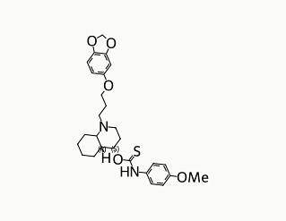 COc1ccc(NC(=S)O[C@H]2CCN(CCCOc3ccc4c(c3)OCO4)C3CCCC[C@H]32)cc1